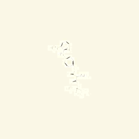 CC(C)(C)OC(=O)C(N)C(=O)Oc1ccc(Nc2ncccc2N)cc1